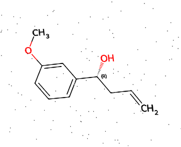 C=CC[C@@H](O)c1cccc(OC)c1